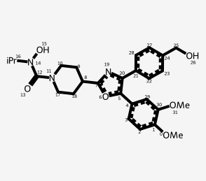 COc1ccc(-c2oc(C3CCN(C(=O)N(O)C(C)C)CC3)nc2-c2ccc(CO)cc2)cc1OC